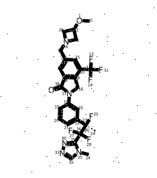 COC1CN(Cc2cc3c(c(C(F)(F)F)c2)CN(c2cccc([C@@](C)(F)C(F)(F)c4nncn4C)c2)C3=O)C1